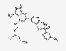 Cc1ccnc(S(=O)(=O)Nc2ccc(-c3nc(NCCN(C)CCO)c4c(C)n[nH]c4n3)cc2Cl)c1